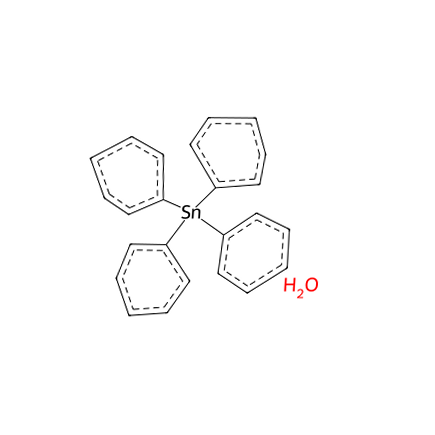 O.c1cc[c]([Sn]([c]2ccccc2)([c]2ccccc2)[c]2ccccc2)cc1